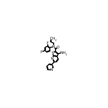 C=CCN(C(=O)c1sc2nc(-c3cccnc3)ccc2c1N)c1ccc(F)cc1F